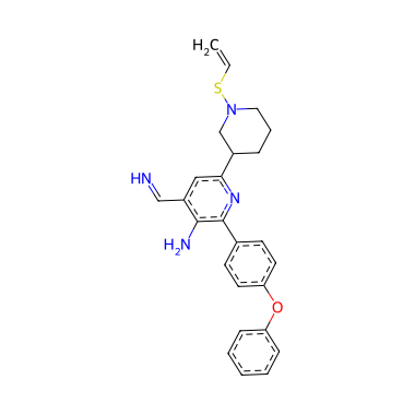 C=CSN1CCCC(c2cc(C=N)c(N)c(-c3ccc(Oc4ccccc4)cc3)n2)C1